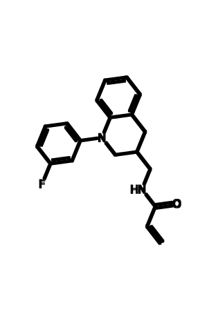 C=CC(=O)NCC1Cc2ccccc2N(c2cccc(F)c2)C1